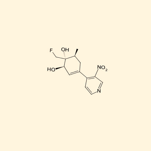 C[C@H]1CC(c2ccncc2[N+](=O)[O-])=C[C@@H](O)[C@@]1(O)CF